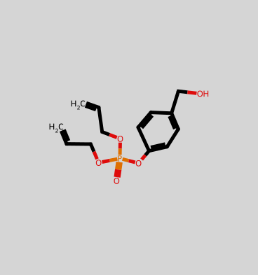 C=CCOP(=O)(OCC=C)Oc1ccc(CO)cc1